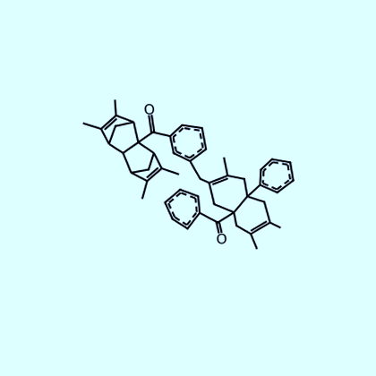 CC1=C(C)CC2(c3ccccc3)CC(C)=C(Cc3cccc(C(=O)C45C6CC(C(C)=C6C)C4C4CC5C(C)=C4C)c3)CC2(C(=O)c2ccccc2)C1